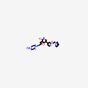 C[C@@H]1CNCCN1Cc1cc2c(=O)n(C)cc(-c3ccnc(OCCN4CCCC4)c3)c2o1